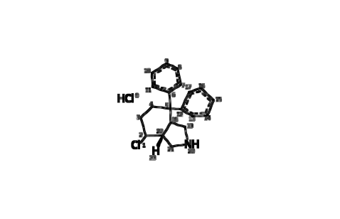 Cl.ClC1CCC(c2ccccc2)(c2ccccc2)C2CNC[C@H]12